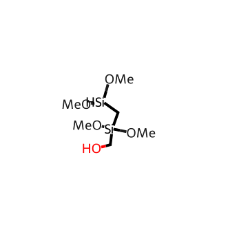 CO[SiH](C[Si](CO)(OC)OC)OC